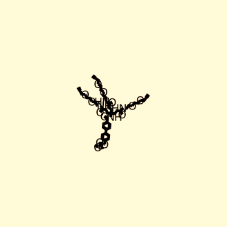 C#CCOCCOCCNC(=O)CCC(CCC(=O)NCCOCCOCC#C)(CCC(=O)NCCOCCOCC#C)NC(=O)c1ccc(-c2ccc(OP(C)(=O)OC)cc2)cc1